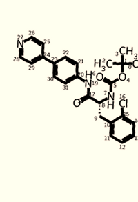 CC(C)(C)OC(=O)N[C@H](Cc1ccccc1Cl)C(=O)Nc1ccc(-c2ccncc2)cc1